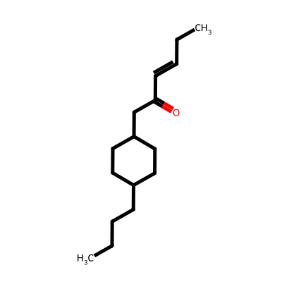 CCC=CC(=O)CC1CCC(CCCC)CC1